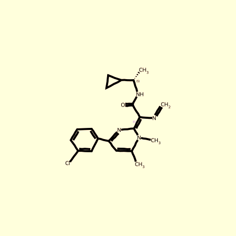 C=N/C(C(=O)N[C@@H](C)C1CC1)=C1/N=C(c2cccc(Cl)c2)C=C(C)N1C